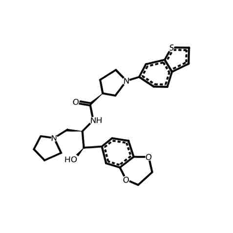 O=C(N[C@H](CN1CCCC1)[C@H](O)c1ccc2c(c1)OCCO2)[C@H]1CCN(c2ccc3ccsc3c2)C1